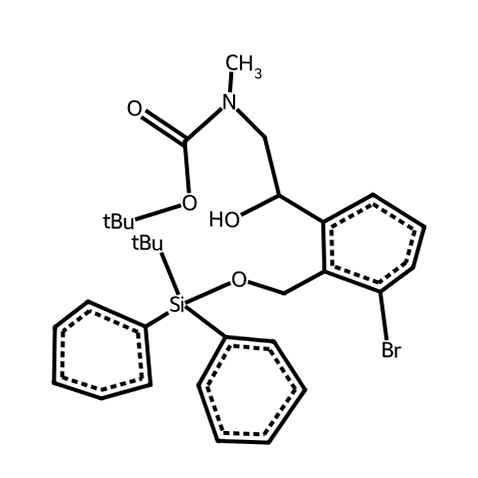 CN(CC(O)c1cccc(Br)c1CO[Si](c1ccccc1)(c1ccccc1)C(C)(C)C)C(=O)OC(C)(C)C